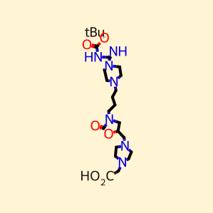 CC(C)(C)OC(=O)NC(=N)N1CCN(CCCCN2CC(CN3CCN(CC(=O)O)CC3)OC2=O)CC1